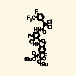 CC(C)(C)OC(=O)N(C(=O)OC(C)(C)C)c1cc(NC(=O)c2cc(NC(=O)[C@H]3C(c4ccc(F)c(C(F)(F)F)c4)C3(Cl)Cl)cc(F)c2Cl)c(F)cc1F